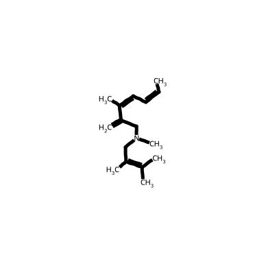 C=C(CN(C)CC(C)=C(C)C)/C(C)=C\C=C/C